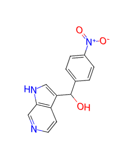 O=[N+]([O-])c1ccc(C(O)c2c[nH]c3cnccc23)cc1